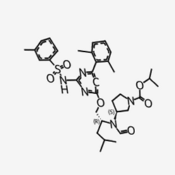 Cc1cccc(S(=O)(=O)Nc2nc(OC[C@@H](CC(C)C)N(C=O)[C@H]3CCN(C(=O)OC(C)C)C3)cc(-c3c(C)cccc3C)n2)c1